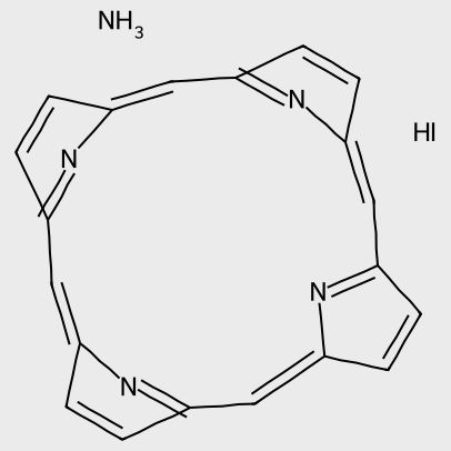 C1=CC2=NC1=CC1=NC(=CC3=NC(=CC4=NC(=C2)C=C4)C=C3)C=C1.I.N